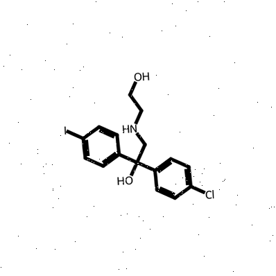 OCCNCC(O)(c1ccc(Cl)cc1)c1ccc(I)cc1